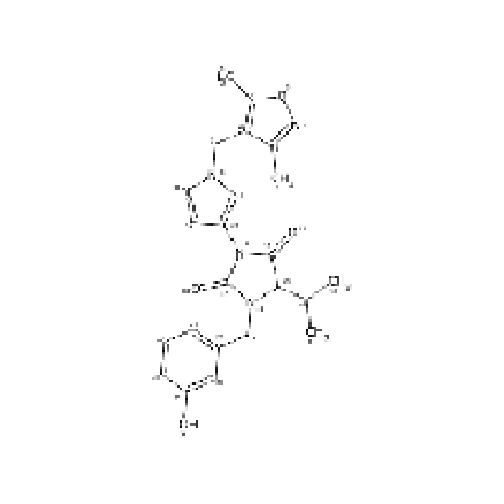 Cc1noc(C)c1Cn1cc(N2C(=O)C(C(C)C)N(Cc3cccc(O)c3)C2=O)cn1